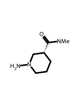 CNC(=O)[C@@H]1CCCN(N)C1